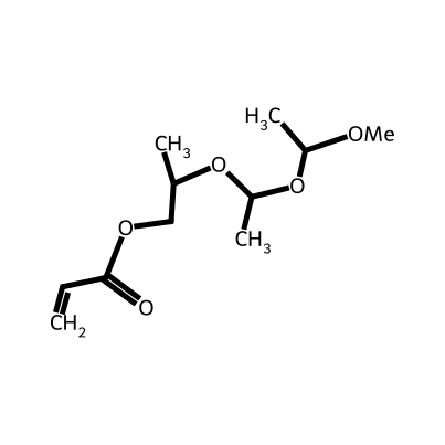 C=CC(=O)OCC(C)OC(C)OC(C)OC